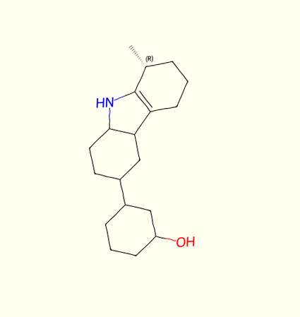 C[C@@H]1CCCC2=C1NC1CCC(C3CCCC(O)C3)CC21